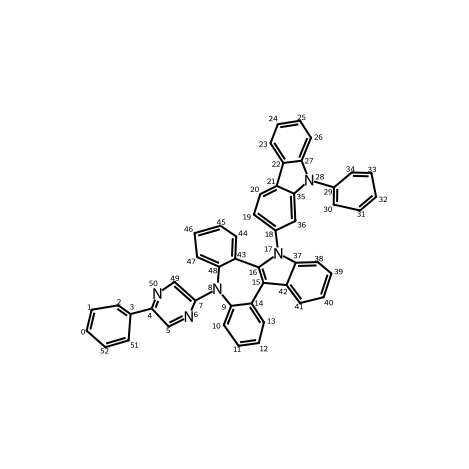 c1ccc(-c2cnc(N3c4ccccc4-c4c(n(-c5ccc6c7ccccc7n(-c7ccccc7)c6c5)c5ccccc45)-c4ccccc43)cn2)cc1